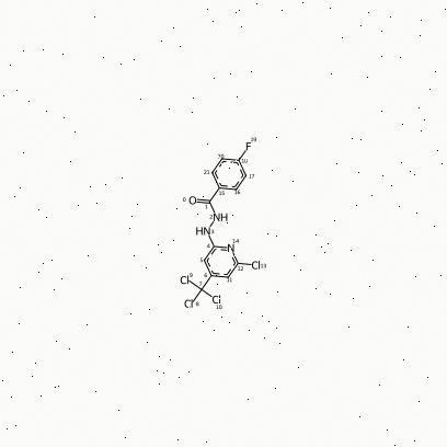 O=C(NNc1cc(C(Cl)(Cl)Cl)cc(Cl)n1)c1ccc(F)cc1